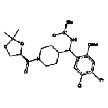 COc1cc(C(C)C)c(Cl)cc1C(N[S@@+]([O-])C(C)(C)C)C1CCN(C(=O)[C@H]2COC(C)(C)O2)CC1